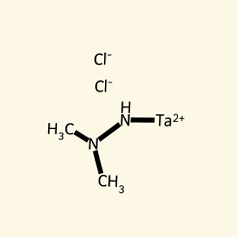 CN(C)[NH][Ta+2].[Cl-].[Cl-]